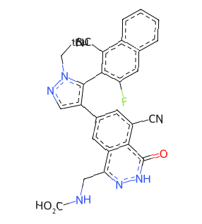 CC(C)(C)Cn1ncc(-c2cc(C#N)c3c(=O)[nH]nc(CNC(=O)O)c3c2)c1-c1c(F)cc2ccccc2c1C#N